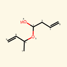 C=CCC(O)OC(C)C=C